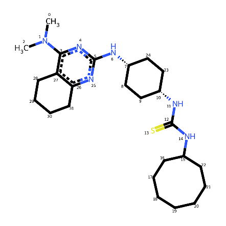 CN(C)c1nc(N[C@H]2CC[C@@H](NC(=S)NC3CCCCCCC3)CC2)nc2c1CCCC2